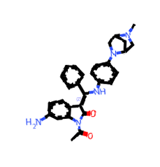 CC(=O)N1C(=O)/C(=C(\Nc2ccc(N3CC4CC3CN4C)cc2)c2ccccc2)c2ccc(N)cc21